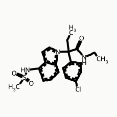 CCNC(=O)C(CC)(c1ccc(Cl)cc1)n1ccc2c(NS(C)(=O)=O)cccc21